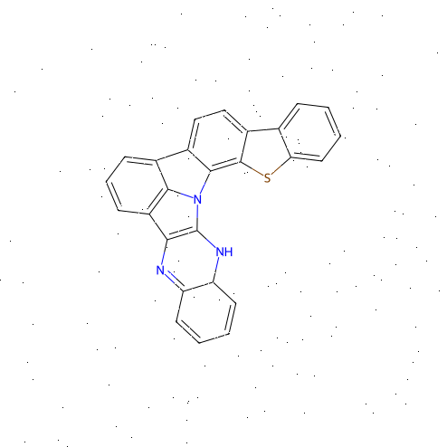 C1=CC2=Nc3c(n4c5c3cccc5c3ccc5c6ccccc6sc5c34)NC2C=C1